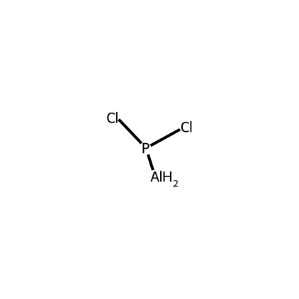 [AlH2][P](Cl)Cl